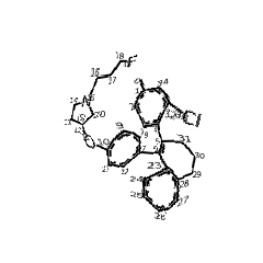 Cc1ccc(C2=C(c3ccc(O[C@H]4CCN(CCCF)C4)cc3)c3cc[c]cc3CCC2)c(Cl)c1